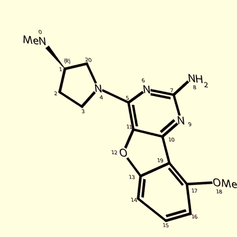 CN[C@@H]1CCN(c2nc(N)nc3c2oc2cccc(OC)c23)C1